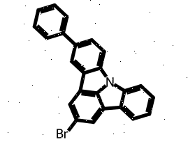 Brc1cc2c3ccccc3n3c4ccc(-c5ccccc5)cc4c(c1)c23